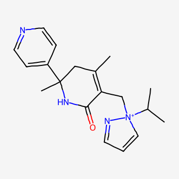 CC1=C(C[N+]2(C(C)C)C=CC=N2)C(=O)NC(C)(c2ccncc2)C1